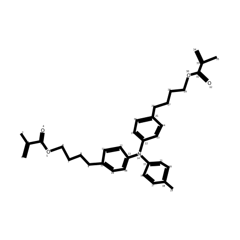 C=C(C)C(=O)OCCCCc1ccc(N(c2ccc(C)cc2)c2ccc(CCCCOC(=O)C(=C)C)cc2)cc1